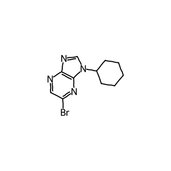 Brc1cnc2ncn(C3CCCCC3)c2n1